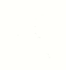 Cc1ccc(-n2nc(C(=O)CC#N)c3c2-c2ccccc2SC3)cc1